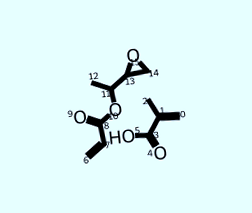 C=C(C)C(=O)O.C=CC(=O)OC(C)C1CO1